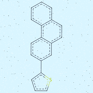 c1csc(-c2ccc3c(ccc4ccccc43)c2)c1